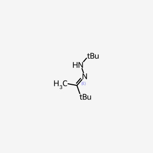 C/C(=N\NC(C)(C)C)C(C)(C)C